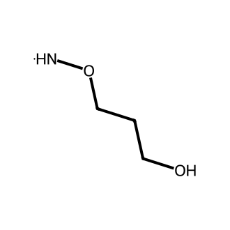 [NH]OCCCO